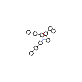 c1ccc(-c2ccc(-c3ccc(N(c4cccc(-c5ccc(-c6ccccc6)cc5)c4)c4ccccc4-c4cccc(-c5cccc6ccccc56)c4)cc3)cc2)cc1